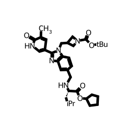 Cc1cc(-c2nc3cc(CN[C@@H](CC(C)C)C(=O)OC4CCCC4)ccc3n2CC2CN(C(=O)OC(C)(C)C)C2)c[nH]c1=O